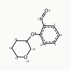 O=Nc1cccnc1OC1CCCOC1